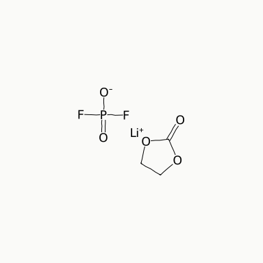 O=C1OCCO1.O=P([O-])(F)F.[Li+]